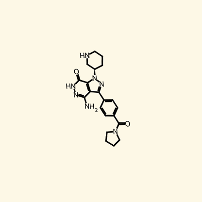 Nc1n[nH]c(=O)c2c1c(-c1ccc(C(=O)N3CCCC3)cc1)nn2[C@@H]1CCCNC1